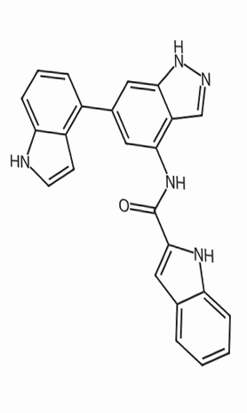 O=C(Nc1cc(-c2cccc3[nH]ccc23)cc2[nH]ncc12)c1cc2ccccc2[nH]1